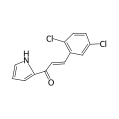 O=C(C=Cc1cc(Cl)ccc1Cl)c1ccc[nH]1